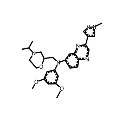 COc1cc(OC)cc(N(CC2CN(C(C)C)CCO2)c2ccc3ncc(-c4cnn(C)c4)nc3c2)c1